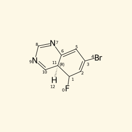 FC1C=C(Br)C=C2N=CN=C[C@@H]21